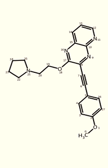 COc1ccc(C#Cc2nc3ncccc3nc2OCCN2CCCC2)cc1